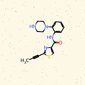 CC#Cc1nc(C(=O)Nc2ccccc2N2CCNCC2)cs1